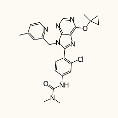 Cc1ccnc(Cn2c(-c3ccc(NC(=O)N(C)C)cc3Cl)nc3c(OC4(C)CC4)ncnc32)c1